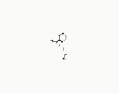 CO[C@@H](CCn1nc(C(F)(F)F)c2c1CCC(F)(F)[C@H]2O)C(F)(F)F